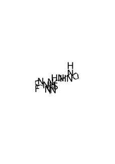 Cc1nc(NCc2ncccc2F)c2nc(CCNCCC3Nc4ccccc4N3)sc2n1